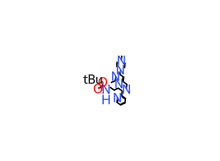 Cc1nc(CN(C)C(CCCNC(=O)OC(C)(C)C)c2ccccn2)cc(N2CCN(C)CC2)n1